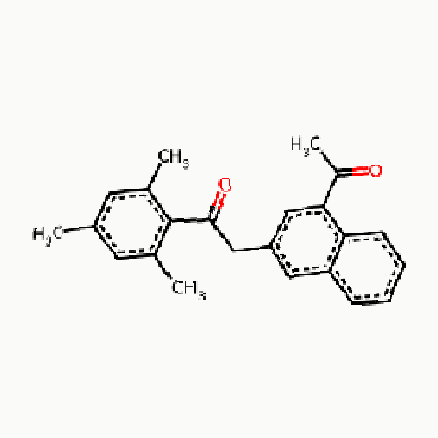 CC(=O)c1cc(CC(=O)c2c(C)cc(C)cc2C)cc2ccccc12